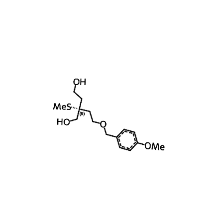 COc1ccc(COCC[C@@](CO)(CCO)SC)cc1